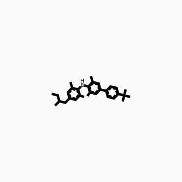 CCC(C)Cc1cc(C)c(Bc2c(C)cc(-c3ccc(C(C)(C)C)cc3)cc2C)c(C)c1